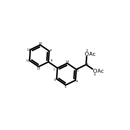 CC(=O)OC(OC(C)=O)c1cccc(-c2ccccc2)c1